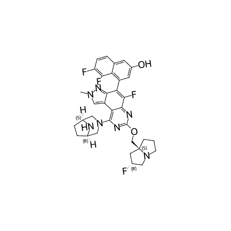 Cn1cc2c(n1)c(-c1cc(O)cc3ccc(F)c(F)c13)c(F)c1nc(OC[C@@]34CCCN3C[C@H](F)C4)nc(N3C[C@H]4CC[C@@H](C3)N4)c12